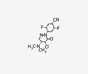 CN(C)c1cnn(-c2cc(F)c(C#N)cc2F)c(=O)c1Cl